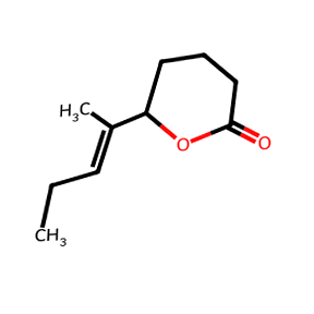 CCC=C(C)C1CCCC(=O)O1